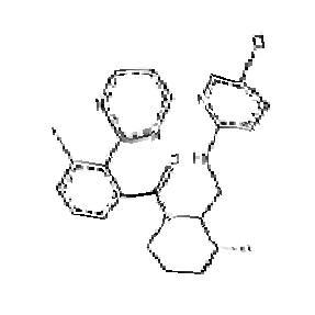 C[C@@H]1CCCN(C(=O)c2cccc(F)c2-c2ncccn2)C1CNc1ccc(Cl)cn1